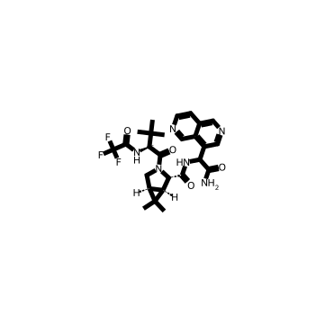 CC(C)(C)[C@H](NC(=O)C(F)(F)F)C(=O)N1C[C@H]2[C@@H]([C@H]1C(=O)NC(C(N)=O)c1cncc3ccncc13)C2(C)C